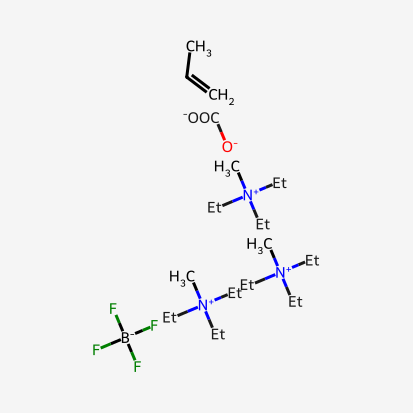 C=CC.CC[N+](C)(CC)CC.CC[N+](C)(CC)CC.CC[N+](C)(CC)CC.F[B-](F)(F)F.O=C([O-])[O-]